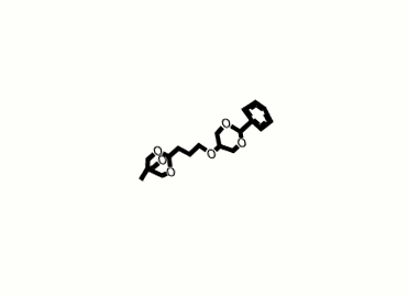 CC12COC(CCCOC3COC(c4ccccc4)OC3)(OC1)OC2